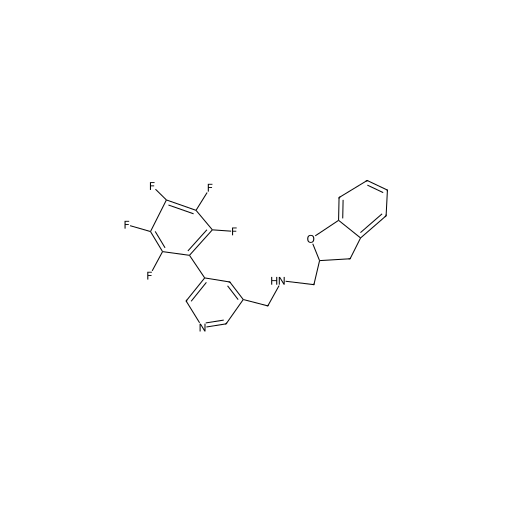 Fc1c(F)c(F)c(-c2cncc(CNCC3Cc4ccccc4O3)c2)c(F)c1F